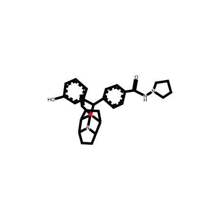 C=CCN1C2CCC1C1CCC2N1C(c1ccc(C(=O)NN2CCCC2)cc1)c1cccc(O)c1